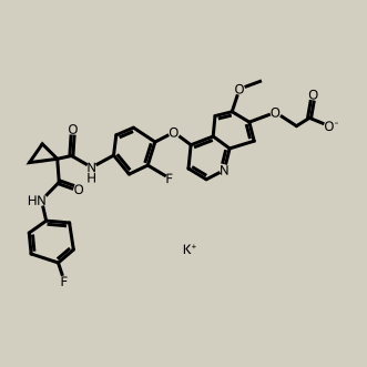 COc1cc2c(Oc3ccc(NC(=O)C4(C(=O)Nc5ccc(F)cc5)CC4)cc3F)ccnc2cc1OCC(=O)[O-].[K+]